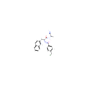 CC(C#N)NC(=O)C(Cc1ccc2ccccc2c1)NC(=O)c1ccc(CCl)cc1